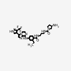 CCc1cc(Nc2nccn3c(-c4c[nH]nc4C(F)(F)F)cnc23)ccc1C(=O)NCCCNC(=O)N1CC[C@@H](N)C1